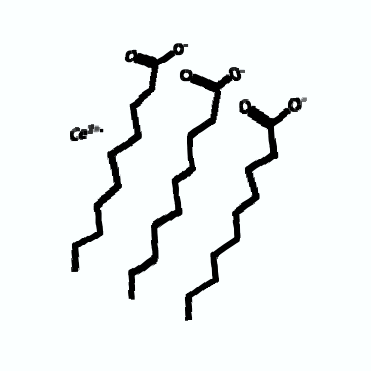 CCCCCCCCCC(=O)[O-].CCCCCCCCCC(=O)[O-].CCCCCCCCCC(=O)[O-].[Ce+3]